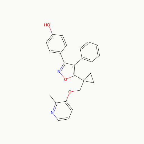 Cc1ncccc1OCC1(c2onc(-c3ccc(O)cc3)c2-c2ccccc2)CC1